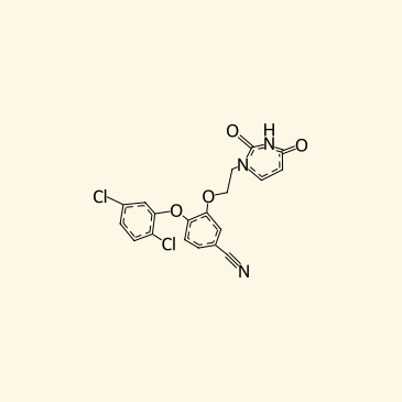 N#Cc1ccc(Oc2cc(Cl)ccc2Cl)c(OCCn2ccc(=O)[nH]c2=O)c1